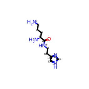 NCCC[C@H](N)C(=O)NCCc1c[nH]cn1